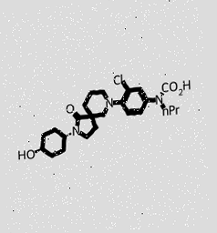 CCCN(C(=O)O)c1ccc(N2CCCC3(CCN([C@H]4CC[C@H](O)CC4)C3=O)C2)c(Cl)c1